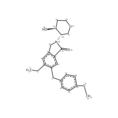 CCc1cc2c(cc1Cc1ccc(OC)cc1)C(=O)N([C@H]1COCC[C@@H]1O)C2